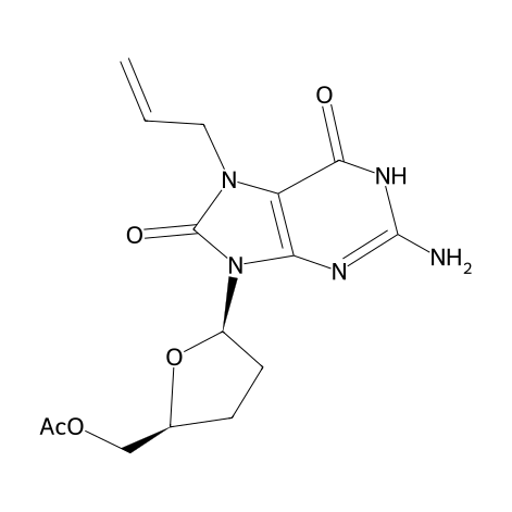 C=CCn1c(=O)n([C@H]2CC[C@@H](COC(C)=O)O2)c2nc(N)[nH]c(=O)c21